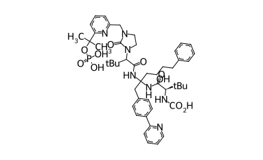 CC(C)(OP(=O)(O)O)c1cccc(CN2CCN(C(C(=O)NC(Cc3ccc(-c4ccccn4)cc3)(CC(O)CCc3ccccc3)NC(=O)[C@H](NC(=O)O)C(C)(C)C)C(C)(C)C)C2=O)n1